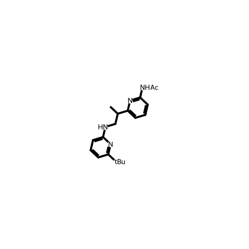 CC(=O)Nc1cccc(C(C)CNc2cccc(C(C)(C)C)n2)n1